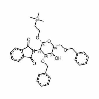 C[Si](C)(C)CCO[C@@H]1O[C@H](COCc2ccccc2)[C@@H](O)[C@H](OCc2ccccc2)[C@H]1N1C(=O)c2ccccc2C1=O